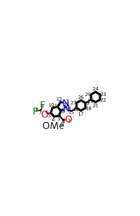 COC(=O)c1cc(OC(F)F)cc2cnn(Cc3ccc(-c4ccccc4)cc3)c12